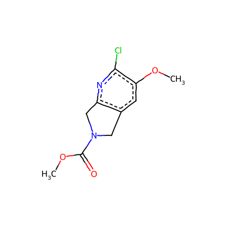 COC(=O)N1Cc2cc(OC)c(Cl)nc2C1